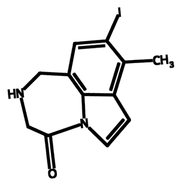 Cc1c(I)cc2c3c1ccn3C(=O)CNC2